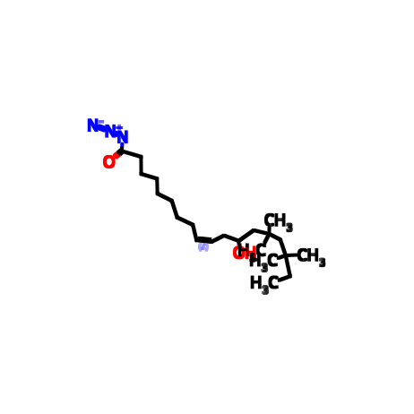 CCC(C)(C)CC(C)(C)CC(O)C/C=C\CCCCCCCC(=O)N=[N+]=[N-]